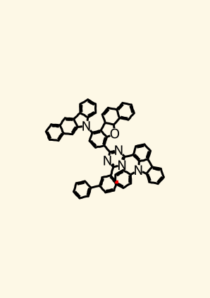 C1=CC2c3c(-n4c5ccccc5c5cc6ccccc6cc54)ccc(-c4nc(-c5cccc(-c6ccccc6)c5)nc(-c5cccc6c7ccccc7n(-c7ccccc7)c56)n4)c3OC2c2ccccc21